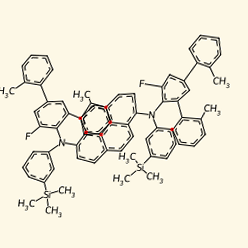 Cc1ccccc1-c1cc(F)c(N(c2cccc([Si](C)(C)C)c2)c2ccc3ccc4c(N(c5cccc([Si](C)(C)C)c5)c5c(F)cc(-c6ccccc6C)cc5-c5ccccc5C)ccc5ccc2c3c54)c(-c2ccccc2C)c1